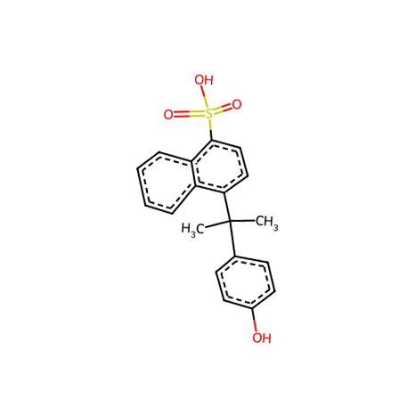 CC(C)(c1ccc(O)cc1)c1ccc(S(=O)(=O)O)c2ccccc12